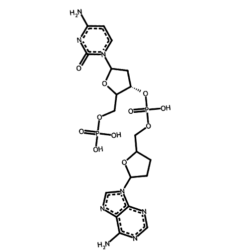 Nc1ccn(C2C[C@H](OP(=O)(O)OCC3CCC(n4cnc5c(N)ncnc54)O3)C(COP(=O)(O)O)O2)c(=O)n1